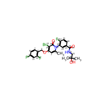 Cc1cc(OCc2ccc(F)cc2F)c(Br)c(=O)n1-c1cc(C(=O)NCC(C)(C)O)ccc1F